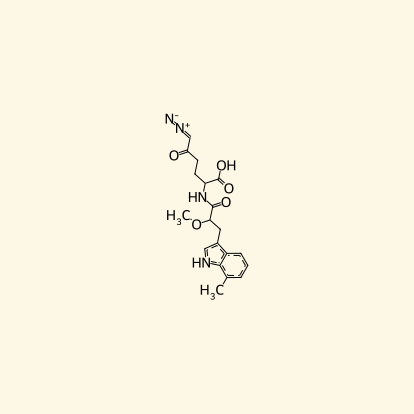 COC(Cc1c[nH]c2c(C)cccc12)C(=O)NC(CCC(=O)C=[N+]=[N-])C(=O)O